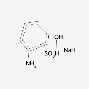 Nc1ccccc1.O=S(=O)(O)O.[NaH]